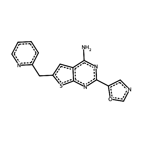 Nc1nc(-c2cnco2)nc2sc(Cc3ccccn3)cc12